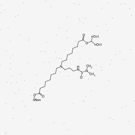 CCCCCCCCCOC(=O)CCCCCCCN(CCCCCCCC(=O)OC(CCCCCCCC)CCCCCCCC)CCCN[S+]([O-])N(C)C